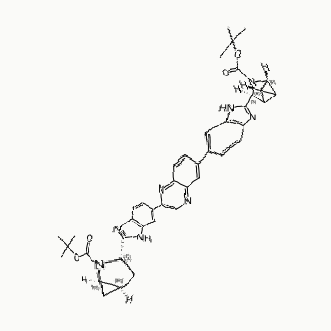 CC(C)(C)OC(=O)N1[C@H](c2nc3ccc(-c4ccc5nc(-c6ccc7nc([C@@H]8C[C@H]9C[C@H]9N8C(=O)OC(C)(C)C)[nH]c7c6)cnc5c4)cc3[nH]2)C2C3[C@H]2[C@@H]31